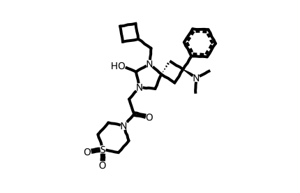 CN(C)[C@]1(c2ccccc2)C[C@@]2(CN(CC(=O)N3CCS(=O)(=O)CC3)C(O)N2CC2CCC2)C1